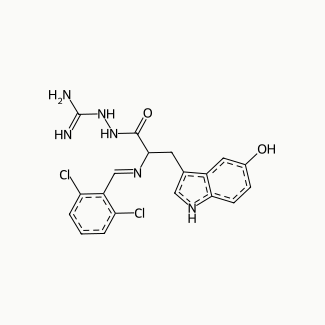 N=C(N)NNC(=O)C(Cc1c[nH]c2ccc(O)cc12)N=Cc1c(Cl)cccc1Cl